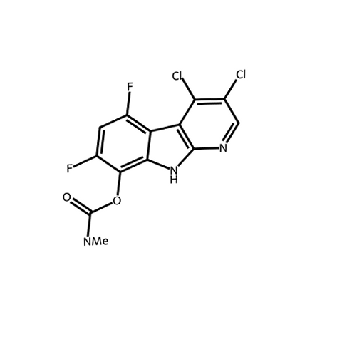 CNC(=O)Oc1c(F)cc(F)c2c1[nH]c1ncc(Cl)c(Cl)c12